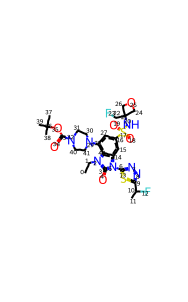 CCn1c(=O)n(-c2nnc(C(C)F)s2)c2cc(S(=O)(=O)NC3(CF)COC3)cc(N3CCN(C(=O)OC(C)(C)C)CC3)c21